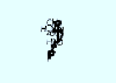 NC(=O)c1c(-c2cccc(Cl)c2)nn2c1CN(C(=O)NC1CC(c3ccc(F)cc3)C1)CC2